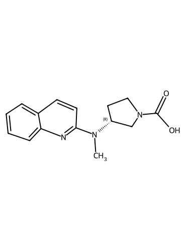 CN(c1ccc2ccccc2n1)[C@@H]1CCN(C(=O)O)C1